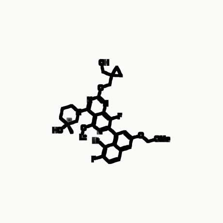 CCOc1nc(-c2cc(OCOC)cc3ccc(F)c(CC)c23)c(F)c2nc(OCC3(CO)CC3)nc(N3CCC[C@@](C)(O)C3)c12